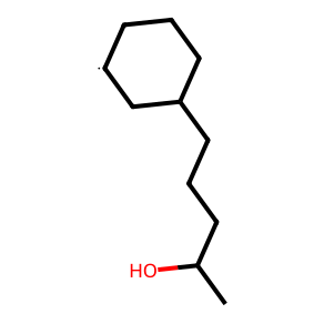 CC(O)CCCC1C[CH]CCC1